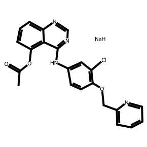 CC(=O)Oc1cccc2ncnc(Nc3ccc(OCc4ccccn4)c(Cl)c3)c12.[NaH]